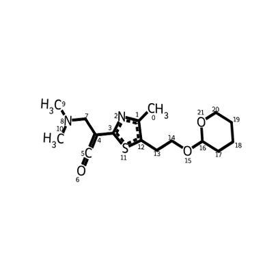 Cc1nc(C(=C=O)CN(C)C)sc1CCOC1CCCCO1